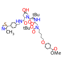 COC(=O)c1ccc(OCCCCCN(CC(=O)N[C@H](C(=O)N2C[C@H](O)CC2C(=O)NCc2ccc(-c3scnc3C)cc2)C(C)(C)C)C(=O)OC(C)(C)C)cc1